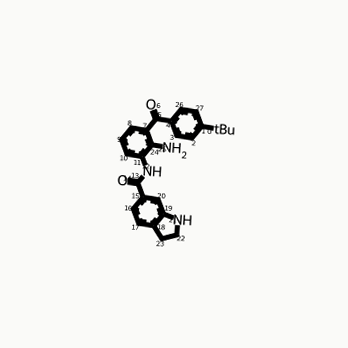 CC(C)(C)c1ccc(C(=O)c2cccc(NC(=O)c3ccc4c(c3)NCC4)c2N)cc1